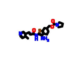 Cc1ccncc1/C=C/C(=O)Nc1sc2c(c1N)CCC(COC(=O)N1CCCC1)C2